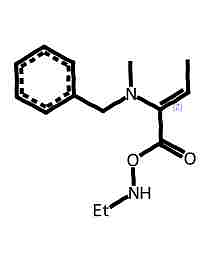 C/C=C(/C(=O)ONCC)N(C)Cc1ccccc1